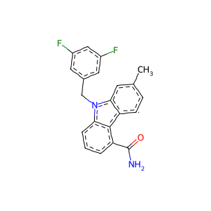 Cc1c[c]c2c3c(C(N)=O)cccc3n(Cc3cc(F)cc(F)c3)c2c1